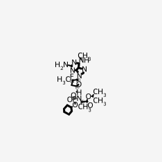 CNc1nc(N)nc2c1ncn2[C@@H]1O[C@H](COP(=O)(N[C@H](C)C(=O)OC(C)C)Oc2ccccc2)C[C@@]1(C)F